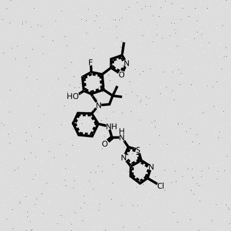 Cc1cc(-c2c(F)cc(O)c3c2C(C)(C)CN3c2ccccc2NC(=O)Nc2nc3ccc(Cl)nc3s2)on1